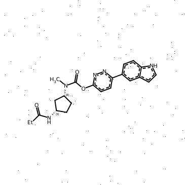 CCC(=O)N[C@H]1CC[C@@H](N(C)C(=O)Oc2ccc(-c3ccc4[nH]ccc4c3)nn2)C1